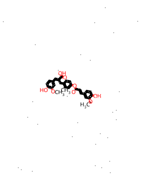 COc1cc(/C=C/C(=O)Oc2ccc(C/C(=C\c3ccc(O)c(OC)c3)C(=O)O)c(C)c2)ccc1O